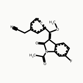 COC(=C1C(=O)N(C(C)=O)c2cc(F)ccc21)c1cccc(CC#N)c1